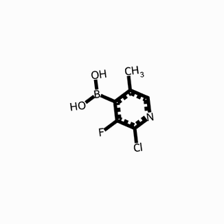 Cc1cnc(Cl)c(F)c1B(O)O